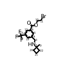 CC1(NCc2cc(C(=O)OCCBr)cc(C(F)(F)F)c2)CCC1